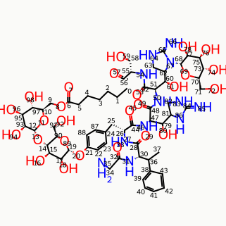 CCCCCCC(=O)OC[C@H]1O[C@H](O[C@H]2[C@H](O)[C@H](O)[C@@H](Oc3ccc(C[C@@H](NC(=O)[C@@H](NC(=O)CN)C(C)c4ccccc4)C(=O)N[C@H](C(=O)N[C@@H](C(=O)N[C@H]([C]=O)CO)[C@H](O)C4CNC(=N)N4[C@H]4O[C@H](CO)[C@@H](O)[C@H](O)[C@@H]4O)C(O)C4CNC(=N)N4)cc3)O[C@@H]2CO)[C@@H](O)[C@@H](O)[C@@H]1O